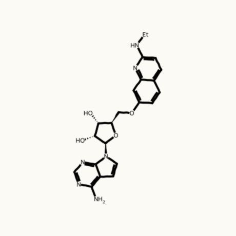 CCNc1ccc2ccc(OC[C@H]3O[C@@H](n4ccc5c(N)ncnc54)[C@H](O)[C@@H]3O)cc2n1